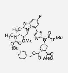 COC(=O)[C@@H]1C[C@H](N(C(=O)OC(C)(C)C)c2ncc(-c3cc(F)cc4nc(C)n(CC(CN(C)C(=O)OC(C)(C)C)OC)c34)s2)CN1C(=O)OCc1ccccc1